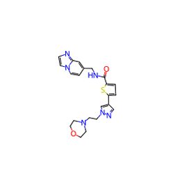 O=C(NCc1ccn2ccnc2c1)c1ccc(-c2cnn(CCN3CCOCC3)c2)s1